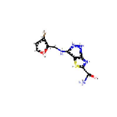 NC(=O)c1nc2[nH]nc(NCc3occc3Br)c2s1